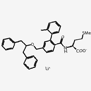 CSCC[C@H](NC(=O)c1ccc(COC(Cc2ccccc2)Cc2ccccc2)cc1-c1ccccc1C)C(=O)[O-].[Li+]